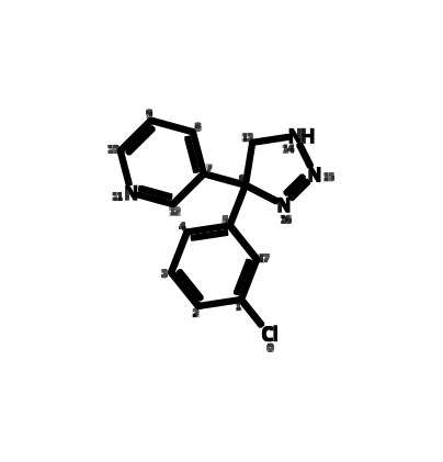 Clc1cccc(C2(c3cccnc3)CNN=N2)c1